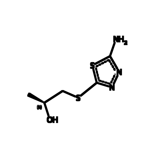 C[C@H](O)CSc1nnc(N)s1